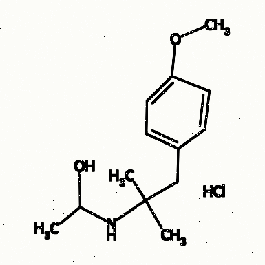 COc1ccc(CC(C)(C)NC(C)O)cc1.Cl